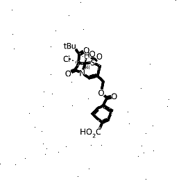 CC(C)(C)C(=O)[C@]1(Cl)C(=O)N2C=C(COC(=O)c3ccc(C(=O)O)cc3)CS(=O)(=O)[C@H]21